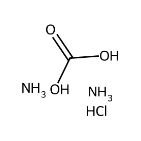 Cl.N.N.O=C(O)O